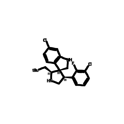 CC(C)(C)C[C@@H]1NC[C@H](c2cccc(Cl)c2F)[C@]12CNc1cc(Cl)ccc12